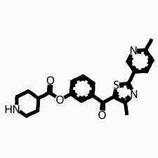 Cc1ccc(-c2nc(C)c(C(=O)c3cccc(OC(=O)C4CCNCC4)c3)s2)cn1